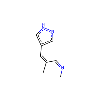 C/N=C\C(C)=C/c1cn[nH]c1